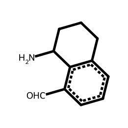 NC1CCCc2cccc(C=O)c21